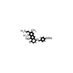 C/C=C/c1c(C)cc2cc3c(c(O)c2c1C)C(=O)CC[C@@H]3OCc1ccc(OC)cc1